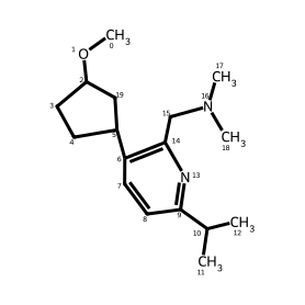 COC1CCC(c2ccc(C(C)C)nc2CN(C)C)C1